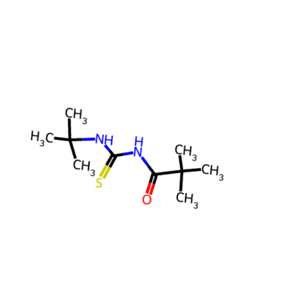 CC(C)(C)NC(=S)NC(=O)C(C)(C)C